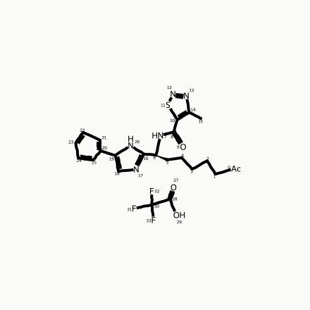 CC(=O)CCCCC[C@H](NC(=O)c1snnc1C)c1ncc(-c2ccccc2)[nH]1.O=C(O)C(F)(F)F